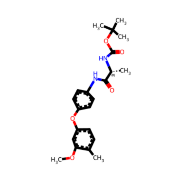 COc1cc(Oc2ccc(NC(=O)[C@@H](C)NC(=O)OC(C)(C)C)cc2)ccc1C